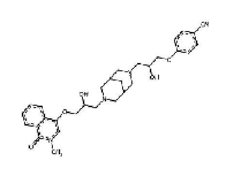 Cn1cc(OCC(O)CN2CC3CC(CN(CC(O)COc4ccc(C#N)cc4)C3)C2)c2ccccc2c1=O